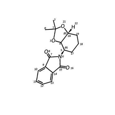 CC1(C)OC2[C@H](N3C(=O)c4ccccc4C3=O)CCC[C@H]2O1